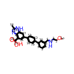 COCCNCc1cccc(-c2ccc(-c3cc(C(=O)O)c4nc(C)[nH]c4c3)cc2)c1